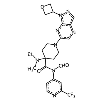 CCN(C)C1(C(=O)N(C=O)c2ccnc(C(F)(F)F)c2)CCN(c2cnc3cnn(C4COC4)c3n2)CC1